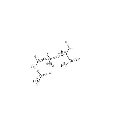 CC(=O)O.CC(N)=O.CC(N)=O.CCC(O)C(=O)O